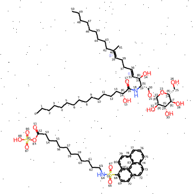 CCCCCCCCCCCCCC[C@@H](O)C(=O)N[C@@H](CO[C@@H]1O[C@H](CO)[C@@H](O)[C@H](O)[C@H]1O)[C@H](O)/C=C/CC/C=C(\C)CCCCCCCCC.O=C(CCCCCCCCCCCNS(=O)(=O)c1ccc2ccc3cccc4ccc1c2c34)OS(=O)(=O)O